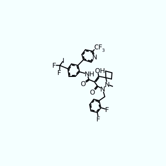 CN1N(Cc2cccc(F)c2F)C(=O)C(C(=O)Nc2ccc(C(F)(F)I)cc2-c2ccc(C(F)(F)F)nc2)=C(O)C12CCC2